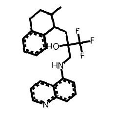 CC1CCc2ccccc2C1CC(O)(CNc1cccc2ncccc12)C(F)(F)F